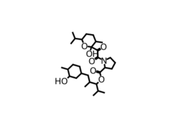 CC(C)C1CCC(C)C(O)(C(=O)C(=O)N2CCCC2C(=O)OC(C(C)C)C(C)CC2CCC(C)C(O)C2)O1